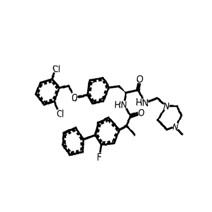 CC(C(=O)N[C@@H](Cc1ccc(OCc2c(Cl)cccc2Cl)cc1)C(=O)NCN1CCN(C)CC1)c1ccc(-c2ccccc2)c(F)c1